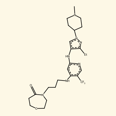 CCc1nn(C2CCN(C)CC2)cc1Nc1cc(NCCCN2CCOCCC2=O)c(C(F)(F)F)cn1